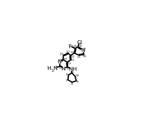 Nc1nc(NC2CCCCC2)c2cc(-c3ccnc(Cl)c3F)ccc2n1